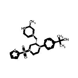 C[C@H]1CN(C[C@H]2CN(S(=O)(=O)c3cccs3)CCN2c2ccc(C(C)(C)O)cc2)CCN1